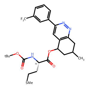 CSCC[C@H](NC(=O)OC(C)(C)C)C(=O)OC1CC(C)Cc2nnc(-c3cccc(C(F)(F)F)c3)cc21